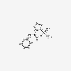 NS(=O)(=O)c1sccc1C(=O)Nc1ccccc1